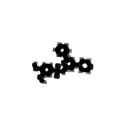 COc1ccc(S(=O)(=O)Cc2cc(N3CCOCC3)nc(-c3ccccn3)n2)cc1OC